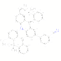 Cc1ccc2c3c1C(C)(C)c1ccccc1B3c1cc(-c3cccc(C#N)c3)cc3c1N2c1ccc(C)c2c1B3c1ccccc1C2(C)C